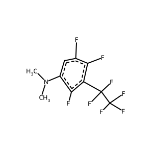 CN(C)c1cc(F)c(F)c(C(F)(F)C(F)(F)F)c1F